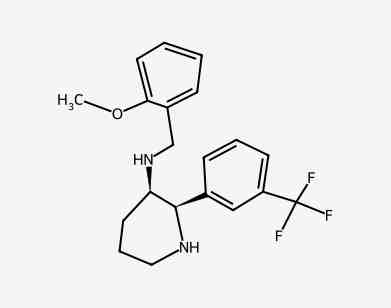 COc1ccccc1CN[C@@H]1CCCN[C@@H]1c1cccc(C(F)(F)F)c1